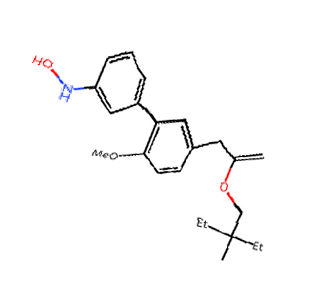 C=C(Cc1ccc(OC)c(-c2cccc(NO)c2)c1)OCC(C)(CC)CC